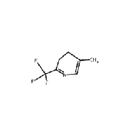 CC1=CN=C(C(F)(F)F)CC1